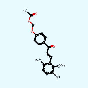 CCCc1ccc(OC)c(/C=C/C(=O)c2ccc(OCOC(=O)C(C)(C)C)cc2)c1OC